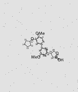 COc1cc(-c2ccc(OC)c(OC3CCCC3)c2)nc(C2COB(O)C2)n1